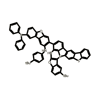 CC(C)(C)c1ccc(Nc2cc3c(cc2-c2ccc4c5cc6c(cc5n5c4c2Bc2oc4ccc(C(C)(C)C)cc4c2-5)sc2ccccc26)oc2ccc(N(c4ccccc4)c4ccccc4)cc23)cc1